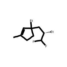 CC[C@@H](CC1(CC)C=C(C)CC1)C(F)F